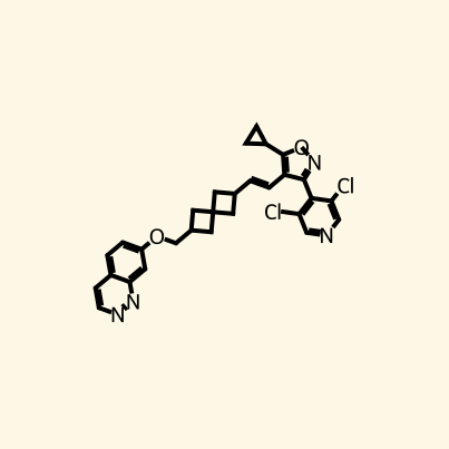 Clc1cncc(Cl)c1-c1noc(C2CC2)c1/C=C/C1CC2(C1)CC(COc1ccc3ccnnc3c1)C2